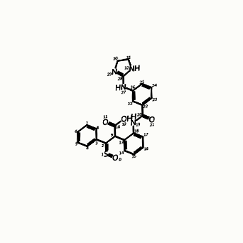 O=S=C(c1ccccc1)C(C(=O)O)c1ccccc1NC(=O)c1cccc(NC2=NCCN2)c1